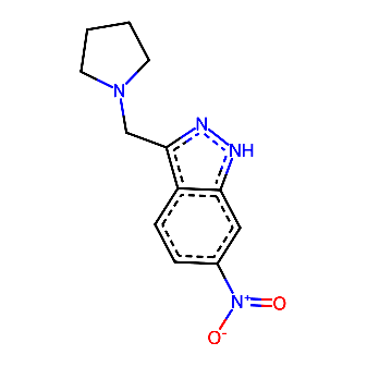 O=[N+]([O-])c1ccc2c(CN3CCCC3)n[nH]c2c1